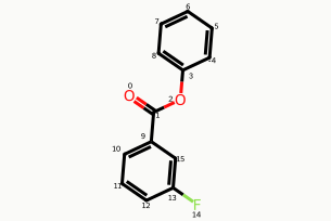 O=C(Oc1[c]cccc1)c1cccc(F)c1